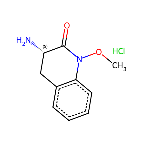 CON1C(=O)[C@@H](N)Cc2ccccc21.Cl